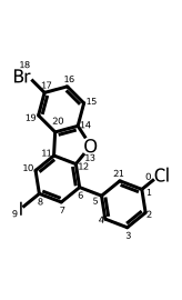 Clc1cccc(-c2cc(I)cc3c2oc2ccc(Br)cc23)c1